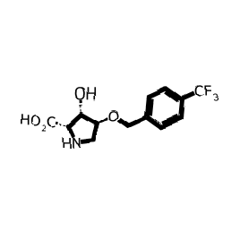 O=C(O)[C@H]1NC[C@H](OCc2ccc(C(F)(F)F)cc2)[C@H]1O